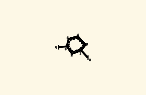 Ic1[c]c(I)ccc1